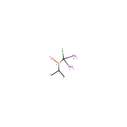 CC(C)[S+]([O-])C(F)(P)P